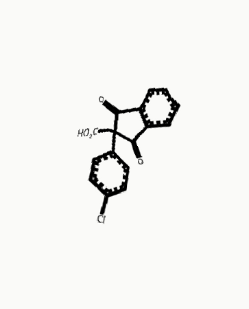 O=C(O)C1(c2ccc(Cl)cc2)C(=O)c2ccccc2C1=O